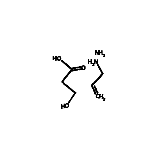 C=CCN.N.O=C(O)CCO